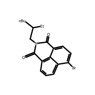 CCCCC(CC)CN1C(=O)c2cccc3c(Br)ccc(c23)C1=O